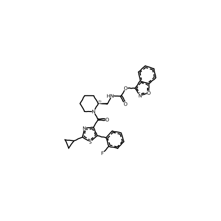 O=C(NC[C@@H]1CCCCN1C(=O)c1nc(C2CC2)sc1-c1ccccc1F)Oc1noc2ccccc12